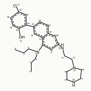 CCCN(CCC)c1nc(NCCN2CCNCC2)nc2ccc(-c3cc(Cl)ccc3O)cc12